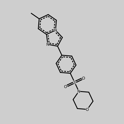 Cc1ccn2cc(-c3ccc(S(=O)(=O)N4CCOCC4)cc3)nc2c1